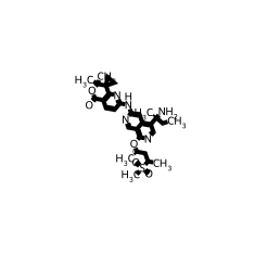 CC[C@@](C)(N)c1cnc(O[C@H](C)CC(C)S(C)(=O)=O)c2cnc(Nc3ccc4c(n3)C3(CC3)C(C)(C)OC4=O)cc12